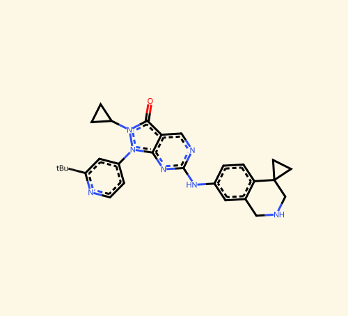 CC(C)(C)c1cc(-n2c3nc(Nc4ccc5c(c4)CNCC54CC4)ncc3c(=O)n2C2CC2)ccn1